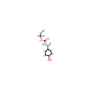 CCC(C)(C)OC(=O)N[C@@H](C)c1ccc(O)cc1